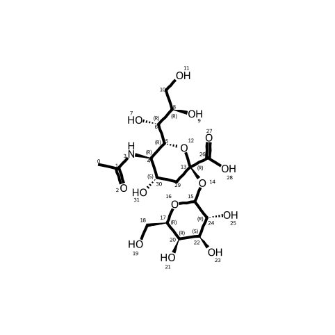 CC(=O)N[C@H]1[C@H]([C@H](O)[C@H](O)CO)O[C@](OC2O[C@H](CO)[C@H](O)[C@H](O)[C@H]2O)(C(=O)O)C[C@@H]1O